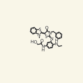 CCNc1ccc(NC(=O)CO)cc1N=C1SC(=C2Sc3ccccc3N2C)C(=O)N1Cc1ccccc1